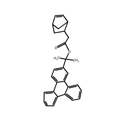 CC(C)(OC(=O)CC1CC2C=CC1C2)c1ccc2c3ccccc3c3ccccc3c2c1